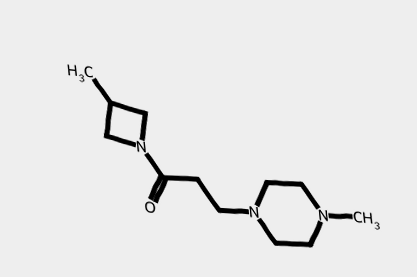 CC1CN(C(=O)CCN2CCN(C)CC2)C1